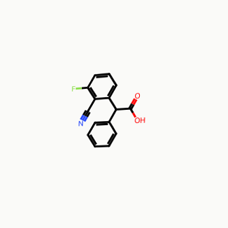 N#Cc1c(F)cccc1C(C(=O)O)c1ccccc1